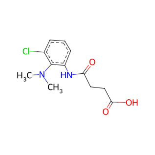 CN(C)c1c(Cl)cccc1NC(=O)CCC(=O)O